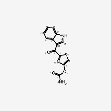 NC(=O)Oc1csc(C(=O)c2c[nH]c3ccccc23)n1